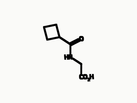 O=C(O)CNC(=O)C1CCC1